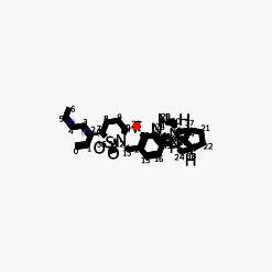 C=C/C(=C\C=C/C)[C@H]1CC[C@H](C)N(Cc2ccc(N3C[C@H]4CC[C@@H](C3)[C@H]4n3cnnc3)cc2F)S1(=O)=O